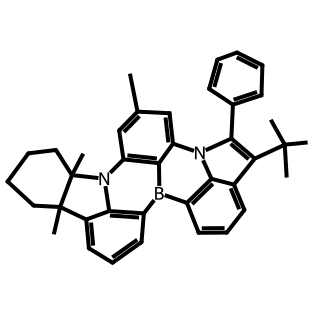 Cc1cc2c3c(c1)-n1c(-c4ccccc4)c(C(C)(C)C)c4cccc(c41)B3c1cccc3c1N2C1(C)CCCCC31C